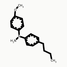 CCCCc1ccc(N(N)c2ccc(OC)cc2)cc1